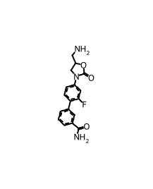 NCC1CN(c2ccc(-c3cccc(C(N)=O)c3)c(F)c2)C(=O)O1